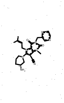 CC(C)=CCn1c(N2CCC[C@H](N)C2)c(C#N)c2c1c(=O)n(Cc1cnccn1)c(=O)n2C